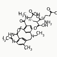 CCN(Cc1cc2c(=O)[nH]c(C)nc2cc1C)c1ccc(C(=O)N(C)[C@@H](CC(C(=O)O)C(=O)[C@@H](N)CCC(=O)O)C(=O)O)c(F)c1